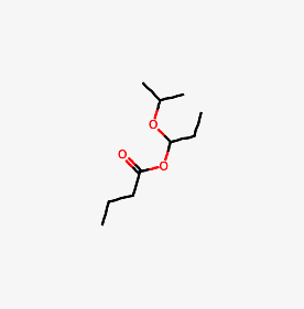 CCCC(=O)OC(CC)OC(C)C